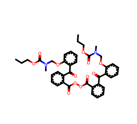 CCCOC(=O)N(C)COc1ccccc1C(=O)c1ccccc1C(=O)OOC(=O)c1ccccc1C(=O)c1ccccc1OCN(C)C(=O)OCCC